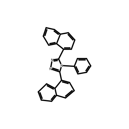 c1ccc(-n2c(-c3cccc4ccccc34)nnc2-c2cccc3ccccc23)cc1